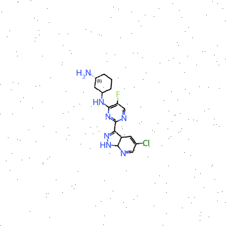 N[C@@H]1CCCC(Nc2nc(C3=NNC4N=CC(Cl)=CC34)ncc2F)C1